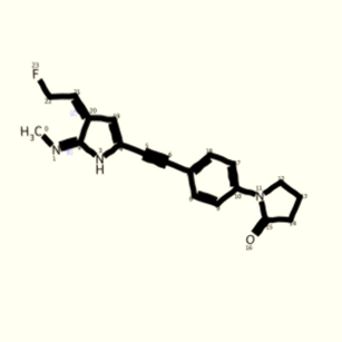 C/N=C1/NC(C#Cc2ccc(N3CCCC3=O)cc2)=C/C1=C/CF